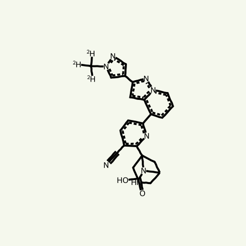 [2H]C([2H])([2H])n1cc(-c2cc3c(-c4ccc(C#N)c(C56CNCC(C5)N6C(=O)O)n4)cccn3n2)cn1